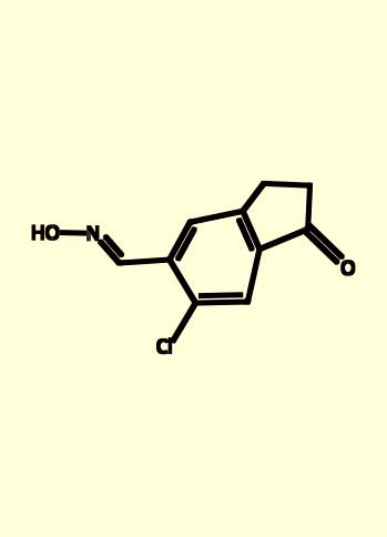 O=C1CCc2cc(C=NO)c(Cl)cc21